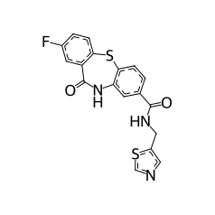 O=C(NCc1cncs1)c1ccc2c(c1)NC(=O)c1cc(F)ccc1S2